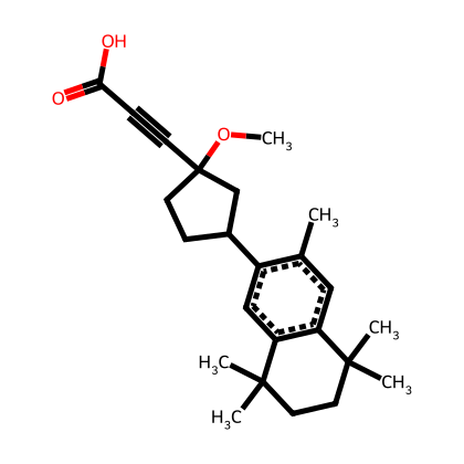 COC1(C#CC(=O)O)CCC(c2cc3c(cc2C)C(C)(C)CCC3(C)C)C1